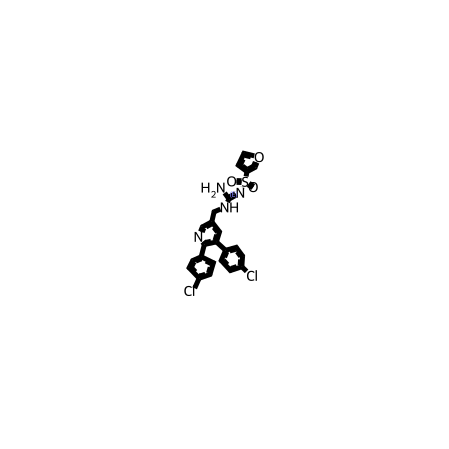 N/C(=N\S(=O)(=O)c1ccoc1)NCc1cnc(-c2ccc(Cl)cc2)c(-c2ccc(Cl)cc2)c1